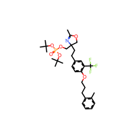 CC1=NC(CCc2ccc(OCCCc3ccccc3C)c(C(F)(F)F)c2)(COP(=O)(OC(C)(C)C)OC(C)(C)C)CO1